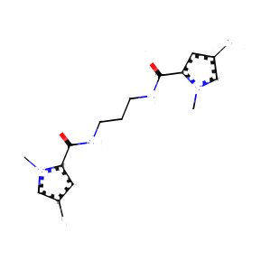 Cn1cc([N+](=O)[O-])cc1C(=O)NCCCNC(=O)c1cc([N+](=O)[O-])cn1C